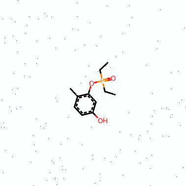 CCP(=O)(CC)Oc1cc(O)ccc1C